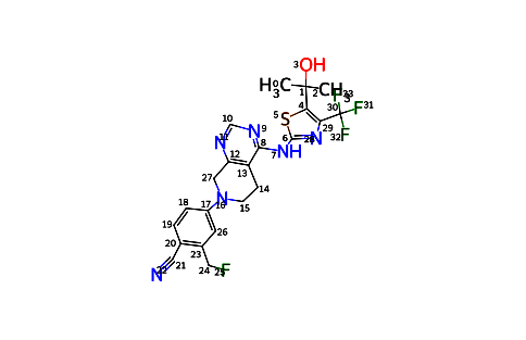 CC(C)(O)c1sc(Nc2ncnc3c2CCN(c2ccc(C#N)c(CF)c2)C3)nc1C(F)(F)F